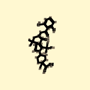 CC(C)(C)CN(CC(=O)c1c(Cl)cccc1Cl)C(=O)c1cnn(C2CCC(C)(C(=O)O)CC2)c1C(F)(F)F